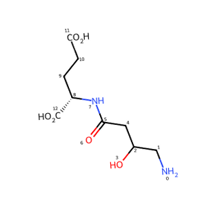 NCC(O)CC(=O)N[C@@H](CCC(=O)O)C(=O)O